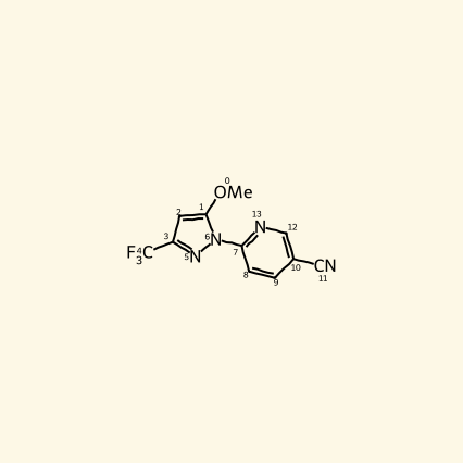 COc1cc(C(F)(F)F)nn1-c1ccc(C#N)cn1